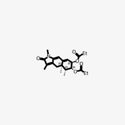 CCC(=O)O[C@H]1[C@H](OC(=O)CC)C=C2C=C3C(=C(C)C(=O)N3C)C[C@]2(C)[C@H]1C